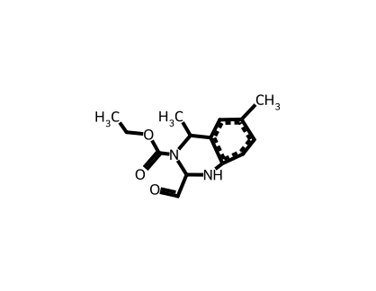 CCOC(=O)N1C(C=O)Nc2ccc(C)cc2C1C